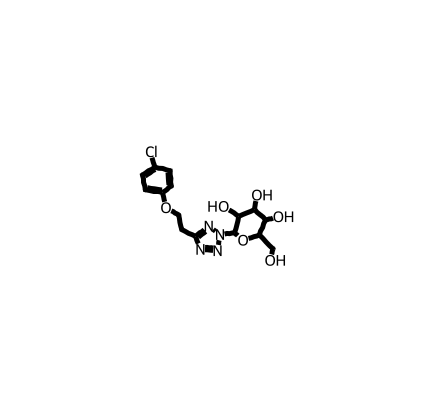 OCC1OC(n2nnc(CCOc3ccc(Cl)cc3)n2)C(O)C(O)C1O